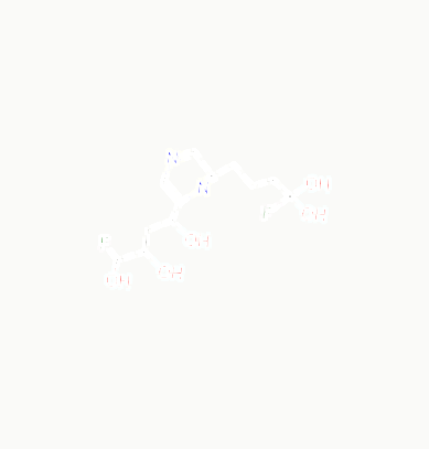 OC(CC(O)C(O)F)c1cncc(CCCC(O)(O)F)n1